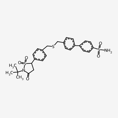 CC(C)(C)N1C(=O)CC(c2ccc(CSCc3ccc(-c4ccc(S(N)(=O)=O)cc4)cc3)cc2)S1(=O)=O